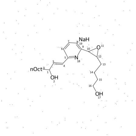 CCCCCCCCC(O)C=Cc1cccc(C2OC2CCCCO)n1.[NaH]